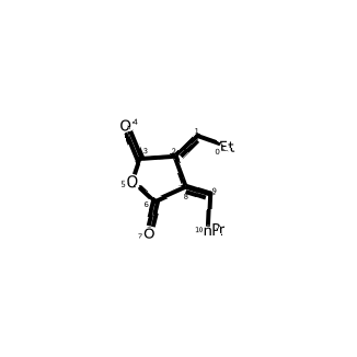 CCC=C1C(=O)OC(=O)C1=CCCC